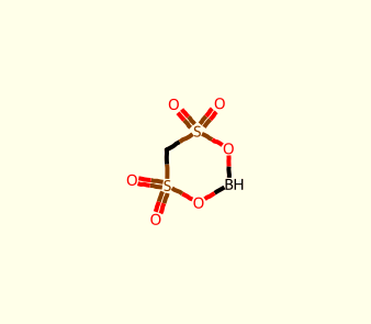 O=S1(=O)CS(=O)(=O)OBO1